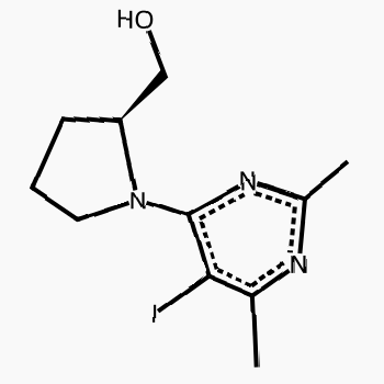 Cc1nc(C)c(I)c(N2CCC[C@H]2CO)n1